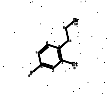 CCc1cc(F)ccc1CCBr